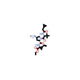 C=CC1CC1(NC(=O)[C@@H]1C[C@@H](N)CN1C(=O)[C@@H](NC(=O)CC1CC1)C(C)(C)C)C(=O)OCC